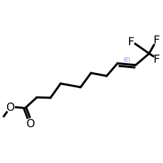 COC(=O)CCCCCC/C=C/C(F)(F)F